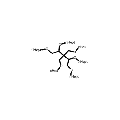 CCCCCCCOCC(OCCCCCCC)C(COCCCCCC)(COCCCCCC)C(COCCCCCCC)OCCCCCCC